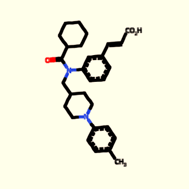 Cc1ccc(N2CCC(CN(C(=O)C3CCCCC3)c3cccc(C=CC(=O)O)c3)CC2)cc1